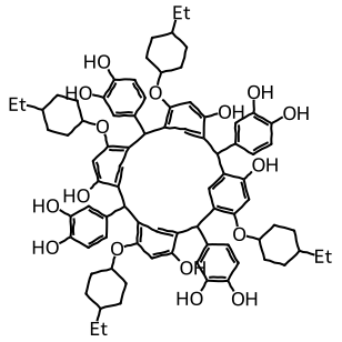 CCC1CCC(Oc2cc(O)c3cc2C(c2ccc(O)c(O)c2)c2cc(c(OC4CCC(CC)CC4)cc2O)C(c2ccc(O)c(O)c2)c2cc(c(OC4CCC(CC)CC4)cc2O)C(c2ccc(O)c(O)c2)c2cc(c(O)cc2OC2CCC(CC)CC2)C3c2ccc(O)c(O)c2)CC1